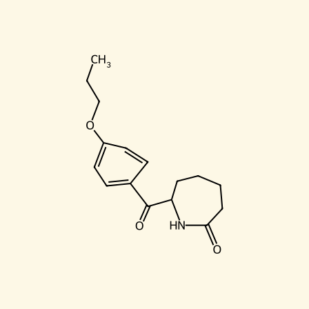 CCCOc1ccc(C(=O)C2CCCCC(=O)N2)cc1